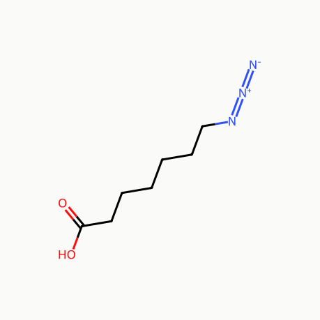 [N-]=[N+]=NCCCCCCC(=O)O